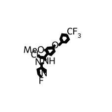 COc1cc(OCc2ccc(C(F)(F)F)cc2)ccc1-c1[nH]c(-c2ccc(F)nc2)nc1Cl